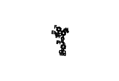 CCN(C(=O)c1cc(F)ccc1-c1cc(C2CN([C@H](CN3CCN(C(=O)OC(C)(C)C)CC3)C(C)C)C2)cc2c1cnn2C)C(C)C